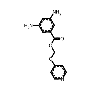 Nc1cc(N)cc(C(=O)OCOc2ccncc2)c1